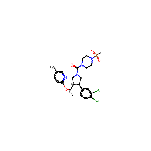 C[C@H](Oc1ccc(C(F)(F)F)cn1)[C@H]1CN(C(=O)N2CCN(S(C)(=O)=O)CC2)CC1c1ccc(Cl)c(Cl)c1